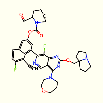 C#Cc1c(F)ccc2cc(OC(=O)N3CCCCC3C=O)cc(-c3ncc4c(N5CCCOCC5)nc(OCC56CCCN5CCC6)nc4c3F)c12